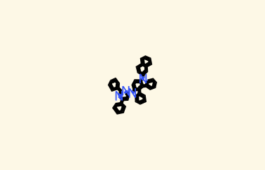 c1ccc(-c2cc(-n3c4ccccc4c4c5c6ccccc6n(-c6ccc7ccccc7c6)c5ccc43)nc(-c3ccccc3)n2)cc1